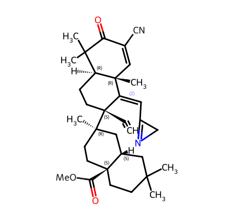 C#C[C@@]1([C@]2(C)CC[C@@]3(C(=O)OC)CCC(C)(C)C[C@H]3C2)CC[C@H]2C(C)(C)C(=O)C(C#N)=C[C@]2(C)/C1=C/C1=NC1